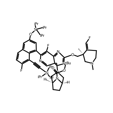 CC(C)[Si](C#Cc1c(F)ccc2cc(O[Si](C(C)C)(C(C)C)C(C)C)cc(-c3ncc4c(N5C[C@H]6CC[C@@H](C5)N6C(=O)OC(C)(C)C)nc(OC[C@]5(C)CN(C)CC/C5=C\F)nc4c3F)c12)(C(C)C)C(C)C